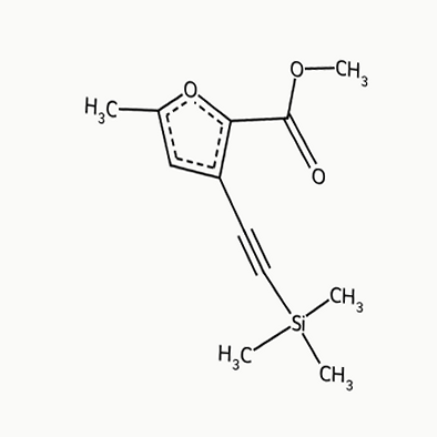 COC(=O)c1oc(C)cc1C#C[Si](C)(C)C